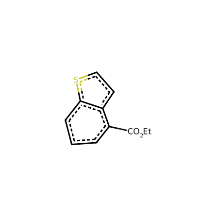 CCOC(=O)c1cccc2sccc12